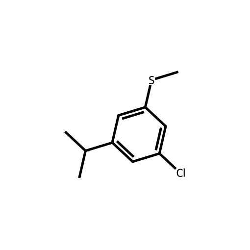 CSc1cc(Cl)cc([C](C)C)c1